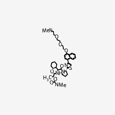 CNCCOCCOCCOc1ccc(-c2csc([C@@H]3CCCN3C(=O)C(NC(=O)C(C)OC(=O)NC)C3CCCCC3)n2)c2ccccc12